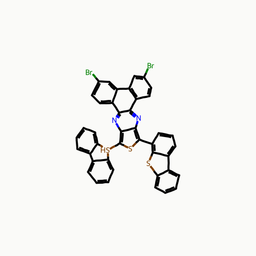 Brc1ccc2c(c1)c1cc(Br)ccc1c1nc3c([SH]4c5ccccc5-c5ccccc54)sc(-c4cccc5c4sc4ccccc45)c3nc21